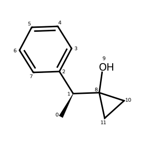 C[C@@H](c1ccccc1)C1(O)CC1